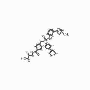 Cn1nnc(-c2cccc(NC(=O)N(Cc3ccc(C(=O)NCC(F)C(=O)O)cc3)c3ccc(C4=CCCCC4)cc3)c2)n1